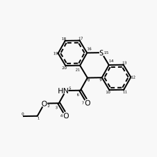 CCOC(=O)NC(=O)C1c2ccccc2Sc2ccccc21